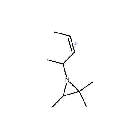 C/C=C\C(C)N1C(C)C1(C)C